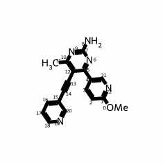 COc1ccc(-c2nc(N)nc(C)c2C#Cc2cccnc2)cn1